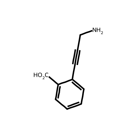 NCC#Cc1ccccc1C(=O)O